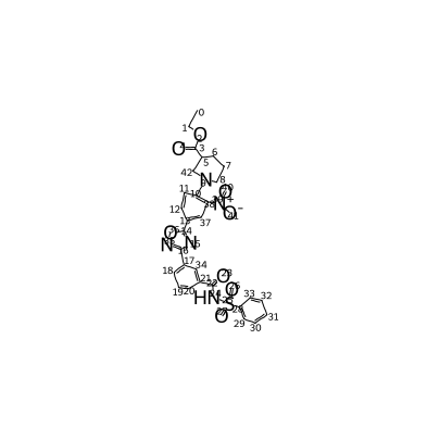 CCOC(=O)C1CCCN(c2ccc(-c3nc(-c4cccc(C(=O)NS(=O)(=O)c5ccccc5)c4)no3)cc2[N+](=O)[O-])C1